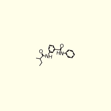 CCC(C)C(=O)Nc1cccc(C(=O)Nc2ccccc2)c1